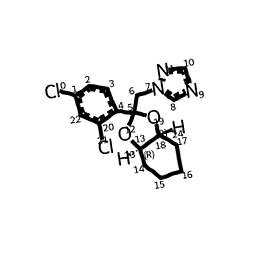 Clc1ccc(C2(Cn3cncn3)O[C@@H]3CCCC[C@H]3O2)c(Cl)c1